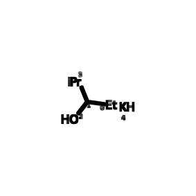 CCC(O)C(C)C.[KH]